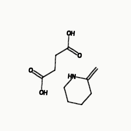 C=C1CCCCN1.O=C(O)CCC(=O)O